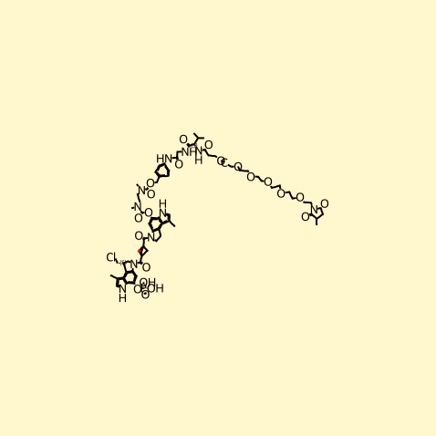 Cc1c[nH]c2c(OC(=O)N(C)CCN(C)C(=O)OCc3ccc(NC(=O)CNC(=O)[C@@H](NC(=O)CCOCCOCCOCCOCCOCCOCCN4C(=O)CC(C)C4=O)C(C)C)cc3)cc3c(c12)CCN3C(=O)C12CC(C(=O)N3C[C@@H](CCl)c4c3cc(OP(=O)(O)O)c3[nH]cc(C)c43)(C1)C2